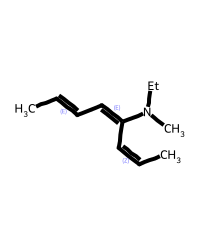 C\C=C/C(=C\C=C\C)N(C)CC